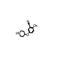 COc1ccc(OC2CCNCC2)cc1C#N